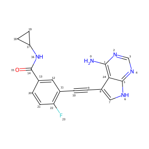 Nc1ncnc2[nH]cc(C#Cc3cc(C(=O)NC4CC4)ccc3F)c12